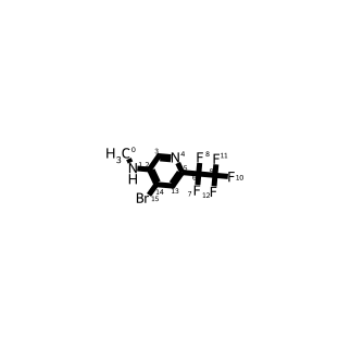 CNc1cnc(C(F)(F)C(F)(F)F)cc1Br